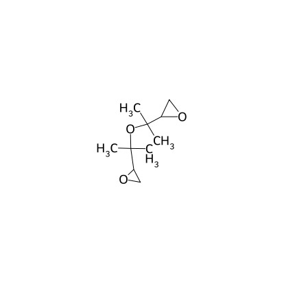 CC(C)(OC(C)(C)C1CO1)C1CO1